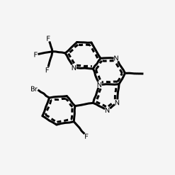 Cc1nc2ccc(C(F)(F)F)nc2n2c(-c3cc(Br)ccc3F)nnc12